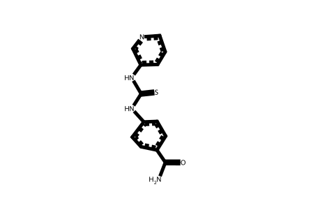 NC(=O)c1ccc(NC(=S)Nc2cccnc2)cc1